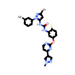 CC(C)c1cc(NC(=O)Nc2cc(Oc3nccc(-c4cnn(C)c4)n3)ccc2F)n(-c2cccc(C#N)c2)n1